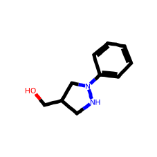 OCC1CNN(c2ccccc2)C1